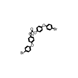 O=[PH](Oc1ccc(Oc2ccc(Br)cc2)cc1)Oc1ccc(Oc2ccc(Br)cc2)cc1